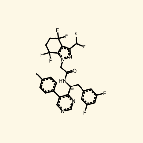 Cc1ccc(-c2cncnc2[C@H](Cc2cc(F)cc(F)c2)NC(=O)Cn2nc(C(F)F)c3c2C(F)(F)CCC3(F)F)cc1